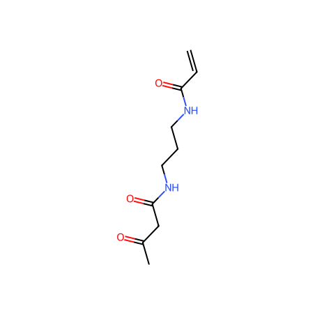 C=CC(=O)NCCCNC(=O)CC(C)=O